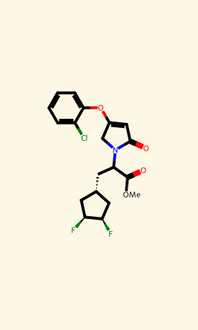 COC(=O)C(C[C@@H]1C[C@@H](F)[C@@H](F)C1)N1CC(Oc2ccccc2Cl)=CC1=O